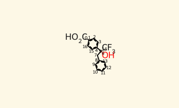 O=C(O)c1ccc(C(O)(Cc2ccccc2)C(F)(F)F)cc1